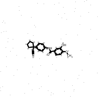 COc1ccc(C(=O)Nc2ccc(C3(C#N)CCCC3)cc2)cc1O